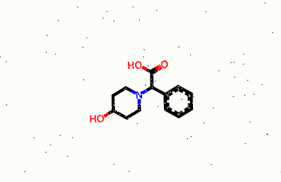 O=C(O)C(c1ccccc1)N1CCC(O)CC1